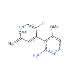 C=C(/C=C(\C(Cl)=C/N)c1c(OC)ccnc1N)OC